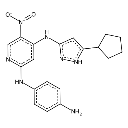 Nc1ccc(Nc2cc(Nc3cc(C4CCCC4)[nH]n3)c([N+](=O)[O-])cn2)cc1